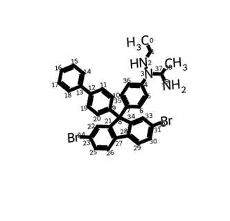 CCNN(c1ccc(C2(c3ccc(-c4ccccc4)cc3)c3cc(Br)ccc3-c3ccc(Br)cc32)cc1)C(C)N